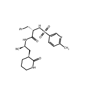 Cc1ccc(S(=O)(=O)N[C@@H](CC(C)C)C(=O)N[C@H](C#N)C[C@@H]2CCCNC2=O)cn1